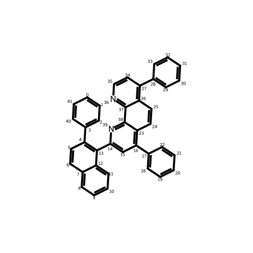 c1ccc(-c2ccc3ccccc3c2-c2cc(-c3ccccc3)c3ccc4c(-c5ccccc5)ccnc4c3n2)cc1